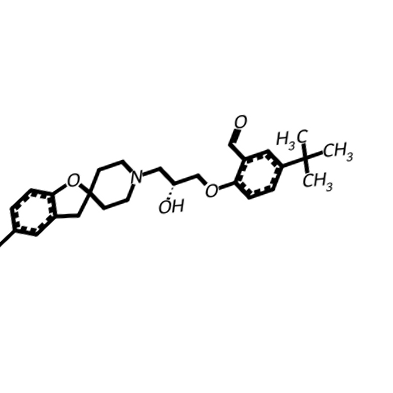 CC(C)(C)c1ccc(OC[C@H](O)CN2CCC3(CC2)Cc2cc(Cl)ccc2O3)c(C=O)c1